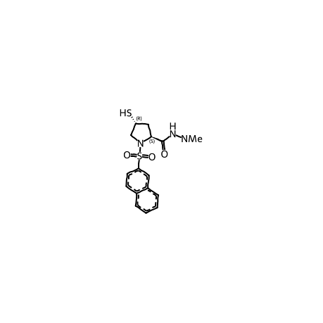 CNNC(=O)[C@@H]1C[C@@H](S)CN1S(=O)(=O)c1ccc2ccccc2c1